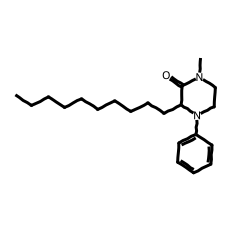 CCCCCCCCCCC1C(=O)N(C)CCN1c1ccccc1